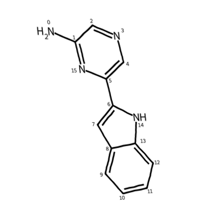 Nc1cncc(-c2cc3ccccc3[nH]2)n1